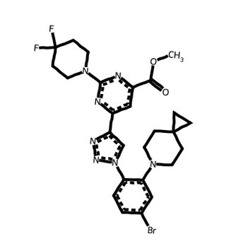 COC(=O)c1cc(-c2cn(-c3ccc(Br)cc3N3CCC4(CC3)CC4)nn2)nc(N2CCC(F)(F)CC2)n1